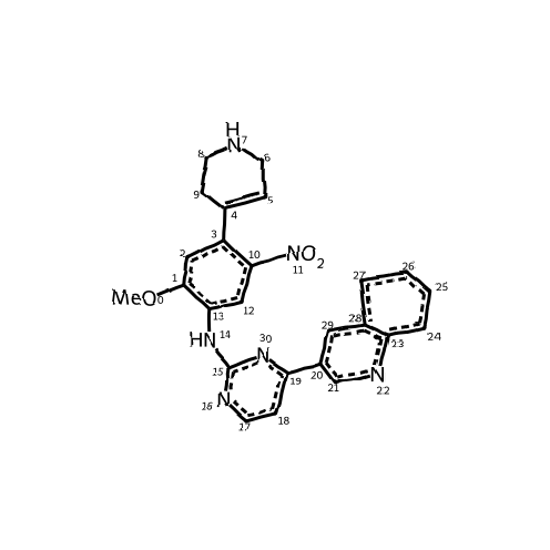 COc1cc(C2=CCNCC2)c([N+](=O)[O-])cc1Nc1nccc(-c2cnc3ccccc3c2)n1